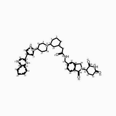 O=C(CC1CCCC(N2CCC(n3cc(-c4cnc5ccccc5n4)cn3)CC2)C1)NCc1ccc2c(c1)CN(C1CCC(=O)NC1=O)C2=O